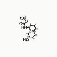 CC(C)(C)OC(=O)Nc1cccc2c1CC(O)CC2